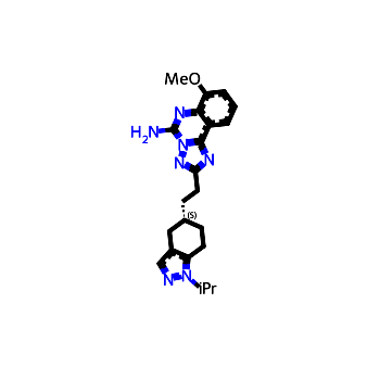 COc1cccc2c1nc(N)n1nc(CC[C@@H]3CCc4c(cnn4C(C)C)C3)nc21